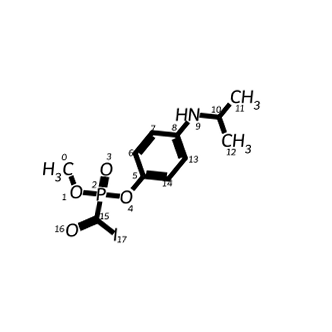 COP(=O)(Oc1ccc(NC(C)C)cc1)C(=O)I